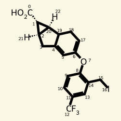 O=C(O)[C@H]1[C@@H]2CC3=CC(Oc4ccc(C(F)(F)F)cc4CI)=CCC3[C@@H]21